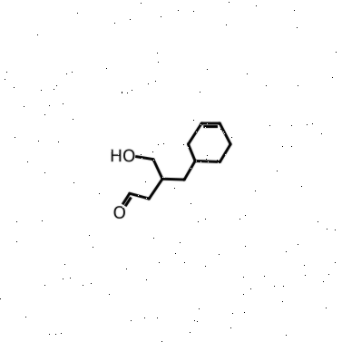 O=CCC(CO)CC1CC=CCC1